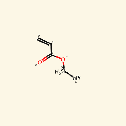 C=CC(=O)O[SiH2]CCC